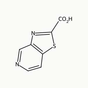 O=C(O)c1nc2cnccc2s1